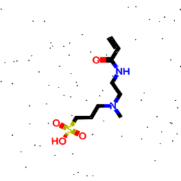 C=CC(=O)NCCN(C)CCCS(=O)(=O)O